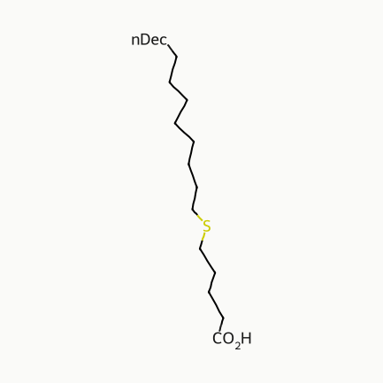 CCCCCCCCCCCCCCCCCCSCCCCC(=O)O